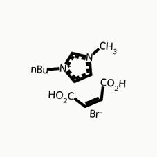 CCCC[n+]1ccn(C)c1.O=C(O)/C=C\C(=O)O.[Br-]